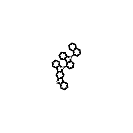 c1ccc2c(-n3c4ccccc4c4c(-n5c6ccccc6c6cc7sc8ccccc8c7cc65)cccc43)cccc2c1